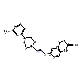 Cc1cccc(N2CCN(/C=C/Cc3ccc4c(c3)CCC(=O)N4)CC2)c1